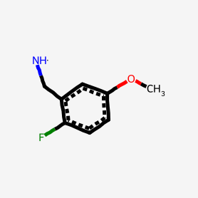 COc1ccc(F)c(C[NH])c1